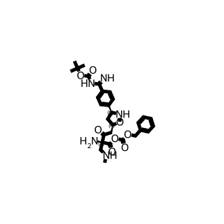 CNC[C@](N)(C(=O)C[C@H]1C[C@@H](c2ccc(C(=N)NC(=O)OC(C)(C)C)cc2)NO1)C(=O)OC(=O)OCc1ccccc1